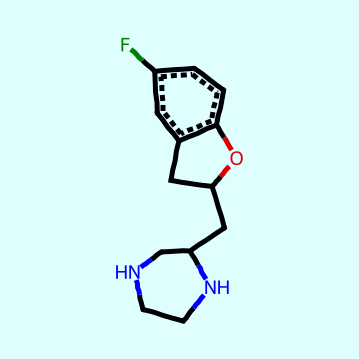 Fc1ccc2c(c1)CC(CC1CNCCN1)O2